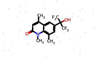 Cc1cc(=O)n(C)c2c(C)cc(C(O)(C(F)(F)F)C(F)(F)F)cc12